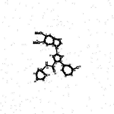 COc1cc2ncn(-c3nc(-c4cccc(Cl)c4)c(C(=O)Nc4ccncn4)s3)c2cc1OC